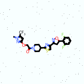 Cn1nc(OCC(=O)N2CCC(c3nc(C4=NOC(c5c(F)cccc5F)C4)cs3)CC2)cc1C(F)(F)F